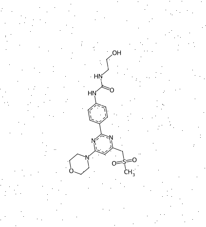 CS(=O)(=O)Cc1cc(N2CCOCC2)nc(-c2ccc(NC(=O)NCCO)cc2)n1